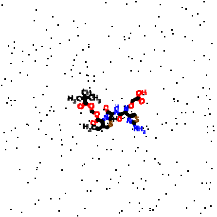 C=CC1=C(C(=O)OCOC(=O)C(C)(C)C)N2C(=O)C(NC(=O)C(=NOCC(=O)O)c3csc(N)n3)[C@@H]2SC1